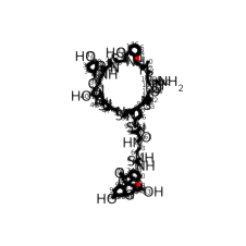 Cc1sc2nc1C(=O)N[C@@H]([C@H](O)c1ccccc1)c1nc(cs1)C(=O)N[C@@H](Cc1ccc(O)cc1)C(=O)N1C[C@H](O)[C@H](C)[C@H]1c1nc(cs1)-c1nc(cs1)-c1nc(-c3nc(C(=O)NCCNC(=S)Nc4ccc5c(c4)C(=O)OC54c5ccc(O)cc5Oc5cc(O)ccc54)cs3)ccc1-c1nc(cs1)C(=O)N[C@H]2CC(N)=O